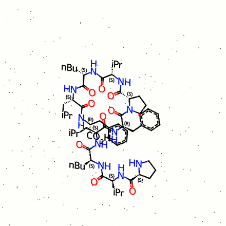 CCCC[C@H](NC(=O)[C@@H](NC(=O)[C@@H]1CCCN1)C(C)C)C(=O)N[C@@H](CC(C)C)C(=O)N[C@H](Cc1ccccc1)C(=O)N1CCC[C@H]1C(=O)N[C@H](C(=O)N[C@@H](CCCC)C(=O)N[C@@H](CC(C)C)C(=O)N[C@H](Cc1ccccc1)C(=O)O)C(C)C